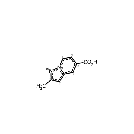 Cc1cc2cc(C(=O)O)ccn2n1